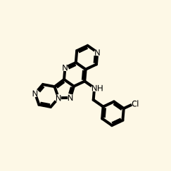 Clc1cccc(CNc2c3cnccc3nc3c2nn2ccncc32)c1